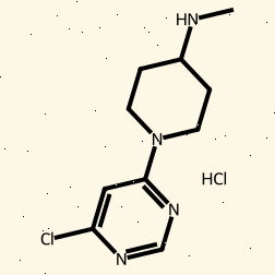 CNC1CCN(c2cc(Cl)ncn2)CC1.Cl